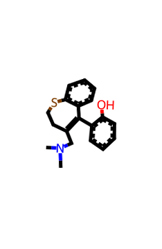 CN(C)CC1=C(c2ccccc2O)c2ccccc2SCC1